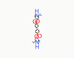 CC(C)C1CC(OC(=O)c2ccc(-c3ccc(C(=O)OC4CC(C(C)C)NC(C)(C)C4)cc3)cc2)CC(C)(C)N1